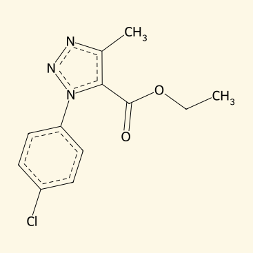 CCOC(=O)c1c(C)nnn1-c1ccc(Cl)cc1